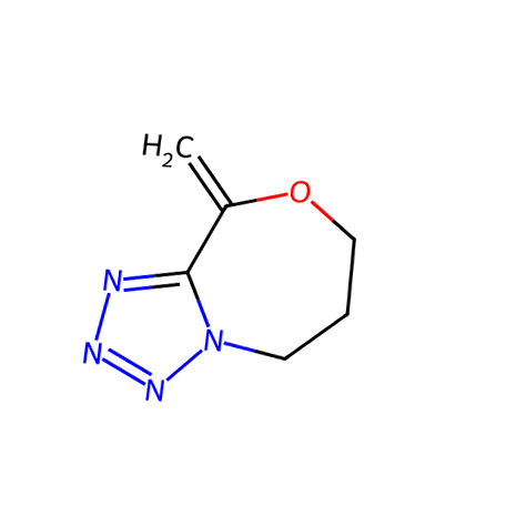 C=C1OCCCn2nnnc21